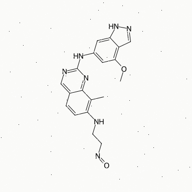 COc1cc(Nc2ncc3ccc(NCCN=O)c(C)c3n2)cc2[nH]ncc12